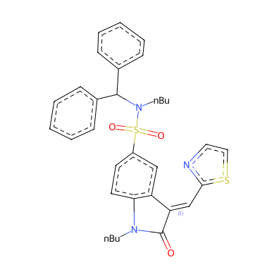 CCCCN1C(=O)/C(=C/c2nccs2)c2cc(S(=O)(=O)N(CCCC)C(c3ccccc3)c3ccccc3)ccc21